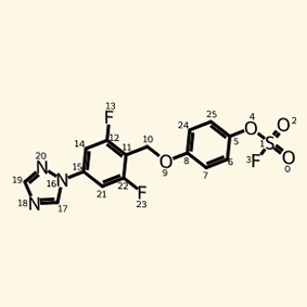 O=S(=O)(F)Oc1ccc(OCc2c(F)cc(-n3cncn3)cc2F)cc1